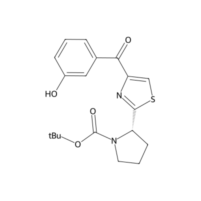 CC(C)(C)OC(=O)N1CCC[C@H]1c1nc(C(=O)c2cccc(O)c2)cs1